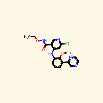 CCONC(=O)c1cnc(Cl)cc1Nc1cccc(-c2cnccn2)c1OC